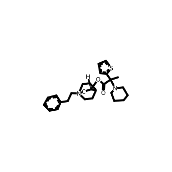 CC(C(=O)O[C@H]1C[N+]2(CCc3ccccc3)CCC1CC2)(c1cccs1)N1CCCCC1